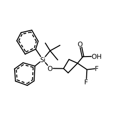 CC(C)(C)[Si](OC1CC(C(=O)O)(C(F)F)C1)(c1ccccc1)c1ccccc1